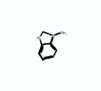 [SiH3]N1CNc2ccccc21